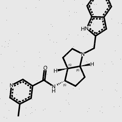 Cc1cncc(C(=O)N[C@H]2CC[C@@H]3[C@H]2CCN3Cc2cc3ccccc3[nH]2)c1